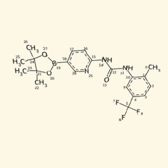 Cc1ccc(C(F)(F)F)cc1NC(=O)Nc1ccc(B2OC(C)(C)C(C)(C)O2)cn1